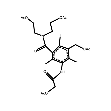 CC(=O)OCCN(CCOC(C)=O)C(=O)c1c(I)c(COC(C)=O)c(I)c(NC(=O)COC(C)=O)c1I